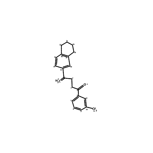 C=C(CCC(=O)c1cccc(C(F)(F)F)c1)c1ccc2c(c1)CCCC2